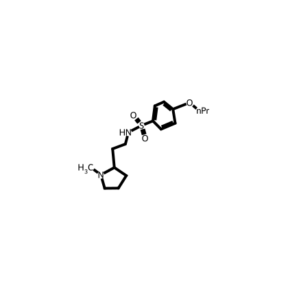 CCCOc1ccc(S(=O)(=O)NCCC2CCCN2C)cc1